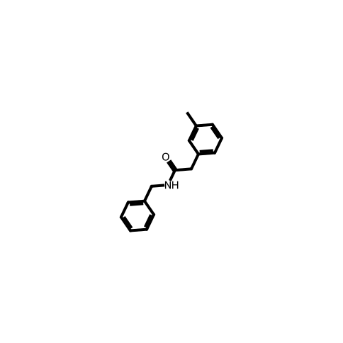 Cc1cccc(CC(=O)NCc2ccccc2)c1